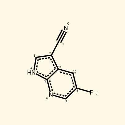 N#Cc1c[nH]c2ncc(F)cc12